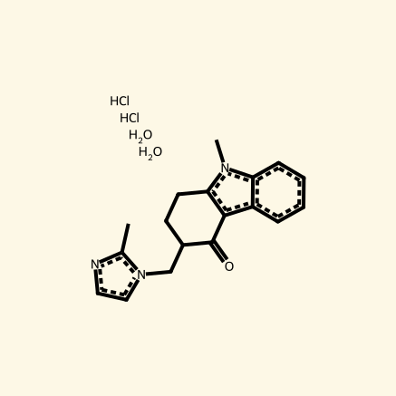 Cc1nccn1CC1CCc2c(c3ccccc3n2C)C1=O.Cl.Cl.O.O